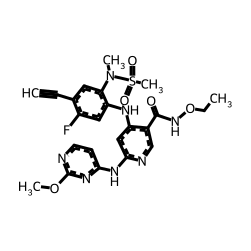 C#Cc1cc(N(C)S(C)(=O)=O)c(Nc2cc(Nc3ccnc(OC)n3)ncc2C(=O)NOCC)cc1F